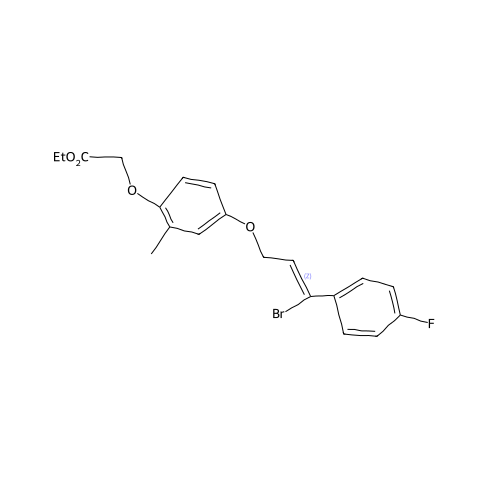 CCOC(=O)COc1ccc(OC/C=C(\Br)c2ccc(F)cc2)cc1C